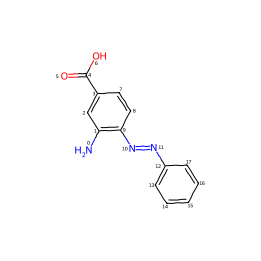 Nc1cc(C(=O)O)ccc1/N=N/c1ccccc1